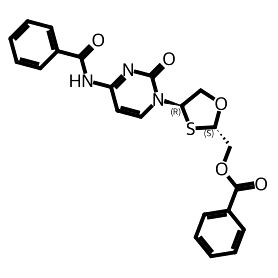 O=C(Nc1ccn([C@H]2CO[C@H](COC(=O)c3ccccc3)S2)c(=O)n1)c1ccccc1